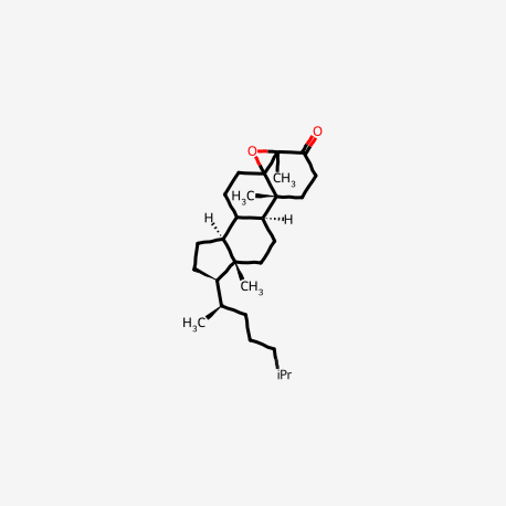 CC(C)CCC[C@@H](C)[C@H]1CC[C@H]2C3CCC45OC4(C)C(=O)CC[C@]5(C)[C@H]3CC[C@]12C